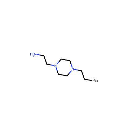 CC(C)(C)CCN1CCN(CCN)CC1